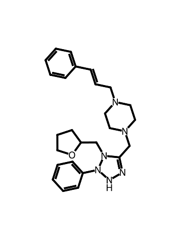 C(=Cc1ccccc1)CN1CCN(CC2=NNN(c3ccccc3)N2CC2CCCO2)CC1